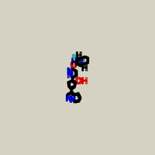 Oc1cc(-c2cnn3ccccc23)ccc1-c1ccc(O[C@H]2C[C@@H]3CCC[C@@H](N3)[C@H]2F)nn1